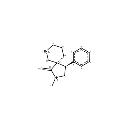 CN1C[C@H](c2ccccc2)[C@@]2(CCCNC2)C1=O